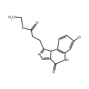 CCOC(=O)CCc1ncc2c(=O)[nH]c3cc(Cl)ccc3n12